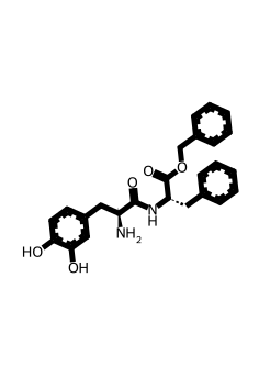 N[C@@H](Cc1ccc(O)c(O)c1)C(=O)N[C@@H](Cc1ccccc1)C(=O)OCc1ccccc1